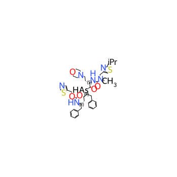 CC(C)c1nc(CN(C)C(=O)N[C@@H](CCN2CCOCC2)C(=O)[AsH][C@H](CC[C@H](Cc2ccccc2)NC(=O)OCc2cncs2)Cc2ccccc2)cs1